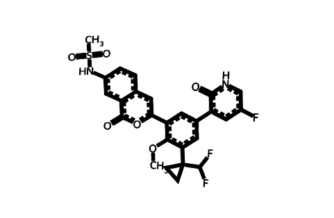 COc1c(-c2cc3ccc(NS(C)(=O)=O)cc3c(=O)o2)cc(-c2cc(F)c[nH]c2=O)cc1C1(C(F)F)CC1